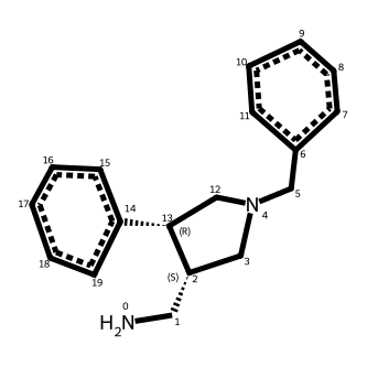 NC[C@H]1CN(Cc2ccccc2)C[C@H]1c1ccccc1